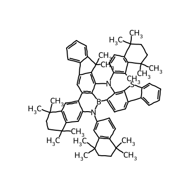 Cc1c(N2c3c4c(cc5c3C(C)(C)c3ccccc3-5)-c3cc5c(cc3N(c3ccc6c(c3)C(C)(C)CCC6(C)C)B4c3ccc4c(sc6ccccc64)c32)C(C)(C)CCC5(C)C)ccc2c1C(C)(C)CCC2(C)C